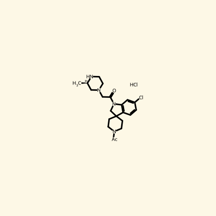 CC(=O)N1CCC2(CC1)CN(C(=O)CN1CCN[C@H](C)C1)c1cc(Cl)ccc12.Cl